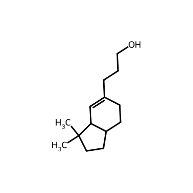 CC1(C)CCC2CCC(CCCO)=CC21